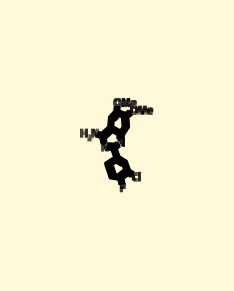 COc1cc2nc(-c3ccc(F)c(Cl)c3)nc(N)c2cc1OC